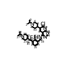 CC(C)N1CCC(c2cc3c(N[C@H](C)c4cccc(C(F)(F)C5CCN(C(C)C)CC5)c4F)ncnc3nc2Cl)CC1